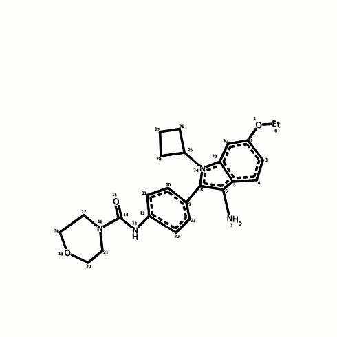 CCOc1ccc2c(N)c(-c3ccc(NC(=O)N4CCOCC4)cc3)n(C3CCC3)c2c1